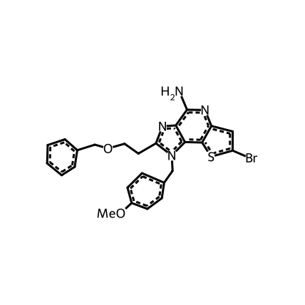 COc1ccc(Cn2c(CCOCc3ccccc3)nc3c(N)nc4cc(Br)sc4c32)cc1